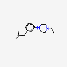 CCN1CCN(c2cccc(C[C](C)C)c2)CC1